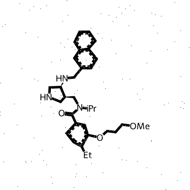 CCc1ccc(C(=O)N(C[C@H]2CNC[C@@H]2NCc2ccc3ccccc3c2)C(C)C)cc1OCCCOC